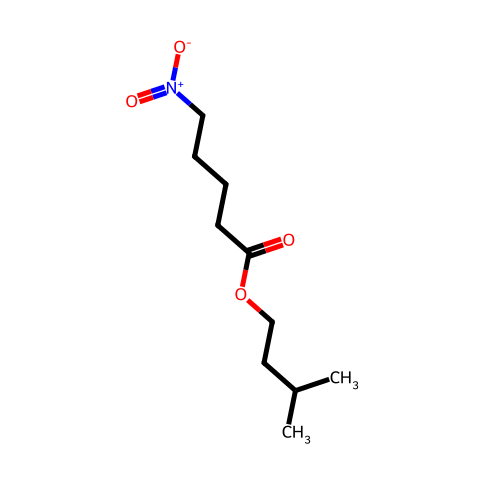 CC(C)CCOC(=O)CCCC[N+](=O)[O-]